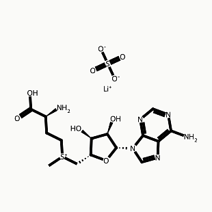 C[S+](CC[C@H](N)C(=O)O)C[C@H]1O[C@@H](n2cnc3c(N)ncnc32)[C@H](O)[C@@H]1O.O=S(=O)([O-])[O-].[Li+]